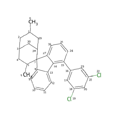 CC1CC2CC(C)C3(c4ccccc4-c4c(-c5cc(Cl)cc(Cl)c5)cccc43)C(C1)C2